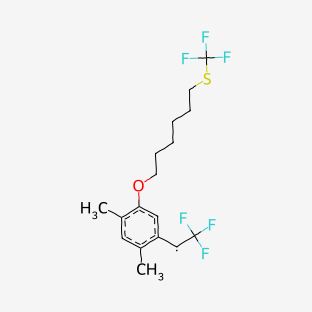 Cc1cc(C)c(OCCCCCCSC(F)(F)F)cc1[CH]C(F)(F)F